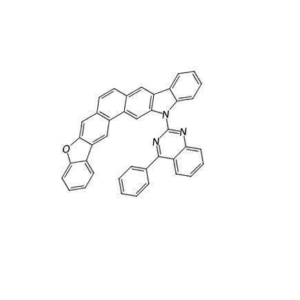 c1ccc(-c2nc(-n3c4ccccc4c4cc5ccc6cc7oc8ccccc8c7cc6c5cc43)nc3ccccc23)cc1